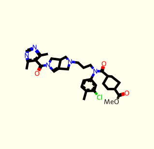 COC(=O)C1CCC(C(=O)N(CCCN2CC3=CN(C(=O)c4c(C)ncnc4C)CC3C2)c2ccc(C)c(Cl)c2)CC1